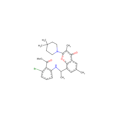 COC(=O)c1c(Br)cccc1NC(C)c1cc(C)cc2c(=O)c(C)c(N3CCC(C)(C)CC3)oc12